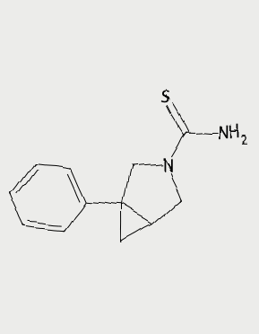 NC(=S)N1CC2CC2(c2ccccc2)C1